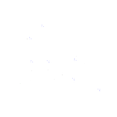 Cc1nonc1-c1nc2c(F)cccc2n1Cc1cnc(C#N)cn1